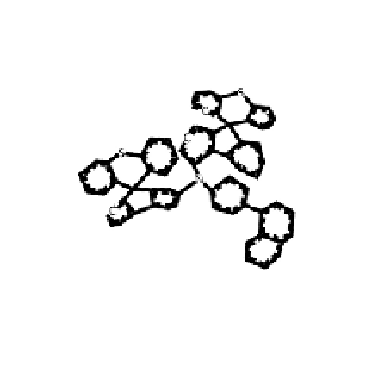 c1ccc2c(c1)Sc1ccccc1C21c2ccccc2-c2ccc(N(c3ccc(-c4cccc5ccccc45)cc3)c3cccc4c3-c3ccccc3C43c4ccccc4Sc4ccccc43)cc21